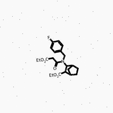 CCOC(=O)CC(=O)N(Cc1ccc(F)cc1)C1C2CCC(C2)C1C(=O)OCC